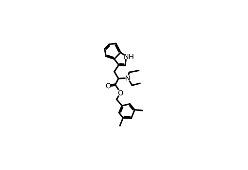 CCN(CC)C(Cc1c[nH]c2ccccc12)C(=O)OCc1cc(C)cc(C)c1